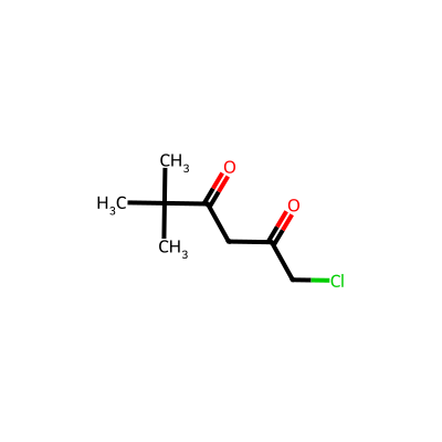 CC(C)(C)C(=O)CC(=O)CCl